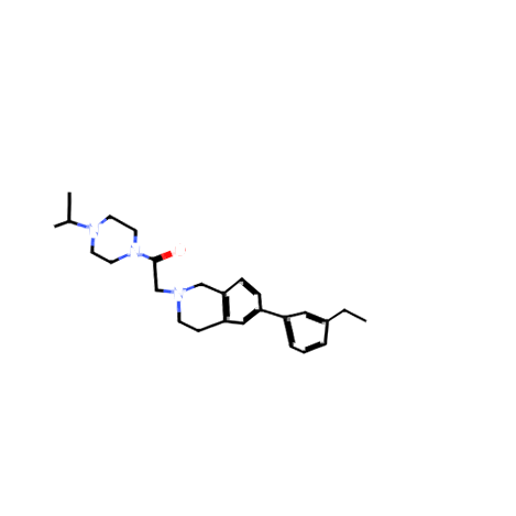 CCc1cccc(-c2ccc3c(c2)CCN(CC(=O)N2CCN(C(C)C)CC2)C3)c1